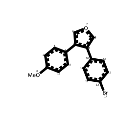 COc1ccc(-c2cocc2-c2ccc(Br)cc2)cc1